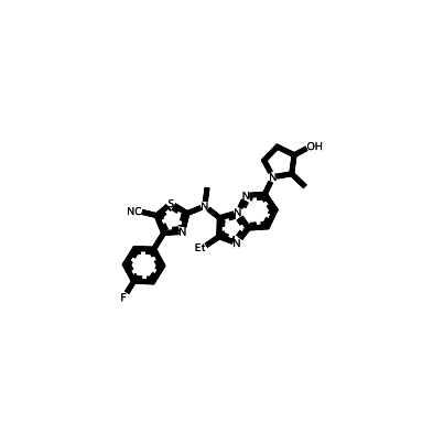 CCc1nc2ccc(N3CC[C](O)C3C)nn2c1N(C)c1nc(-c2ccc(F)cc2)c(C#N)s1